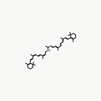 CC(C=CC1=C(C)CCCC1(C)C)=CC=CC(C)=CC=NC(C)NCC=C(C)C=CC=C(C)C=CC1=C(C)CCCC1(C)C